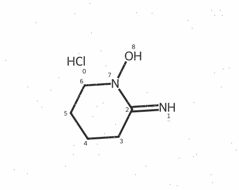 Cl.N=C1CCCCN1O